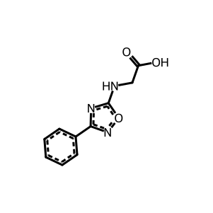 O=C(O)CNc1nc(-c2ccccc2)no1